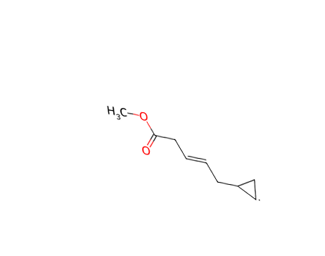 COC(=O)CC=CCC1[CH]C1